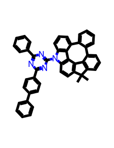 CC1(C)c2cccc3c4ccccc4c4cccc5c4c4c(c1ccc4n5-c1nc(-c4ccccc4)nc(-c4ccc(-c5ccccc5)cc4)n1)c23